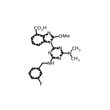 COc1nc2c(C(=O)O)cccc2n1-c1nc(NCc2cccc(F)c2)nc(N(C)C)n1